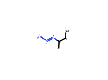 CC(CN=O)N=NN